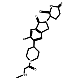 CNCC(=O)N1CCC(c2cc3c(cc2F)C(=O)N(C2CCC(=O)NC2=O)C3)CC1